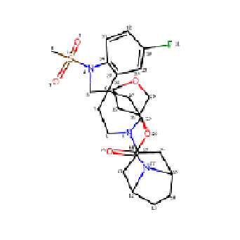 CS(=O)(=O)N1CC2(CCN(C3CC4CCC(C3)N4C(=O)O[C@H]3CCOC3)CC2)c2cc(F)ccc21